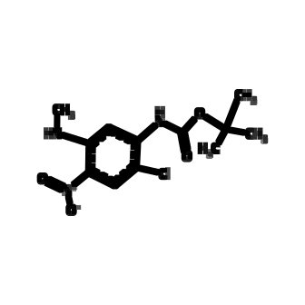 CNc1cc(NC(=O)OC(C)(C)C)c(Cl)cc1[N+](=O)[O-]